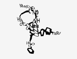 CCCCc1ccc(-c2ccc(C(=O)N[C@@H](CCCCNC(=O)OCc3ccccc3)C(=O)N[C@H]3CCCC(=O)NCCCC[C@@H](C(=O)OC)NC(=O)[C@H](C)NC3=O)cc2)cc1